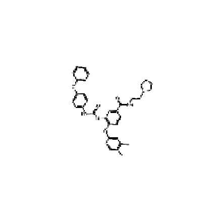 Cc1ccc(Oc2ccc(C(=O)NCCN3CCCC3)cc2NC(=O)Nc2ccc(Oc3ccccc3)cc2)cc1C